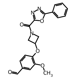 COc1cc(C=O)ccc1OC1CN(C(=O)c2nnc(-c3ccccc3)o2)C1